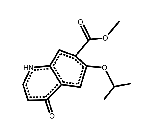 COC(=O)c1cc2[nH]ccc(=O)c2cc1OC(C)C